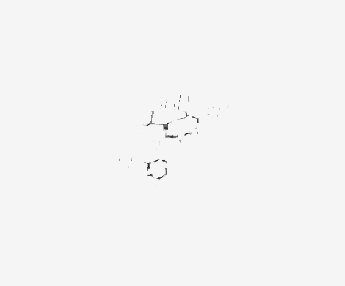 Cc1cc(F)ccc1Oc1nnc(N2CC(F)C2)c(C)c1C(=O)O